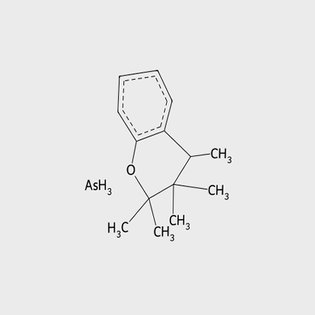 CC1c2ccccc2OC(C)(C)C1(C)C.[AsH3]